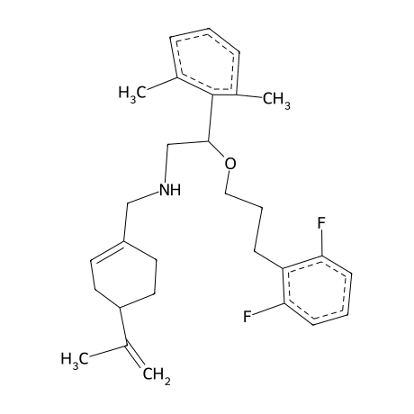 C=C(C)C1CC=C(CNCC(OCCCc2c(F)cccc2F)c2c(C)cccc2C)CC1